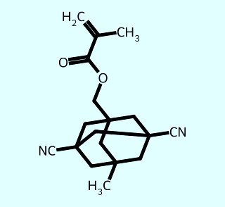 C=C(C)C(=O)OCC12CC3(C)CC(C#N)(CC(C#N)(C3)C1)C2